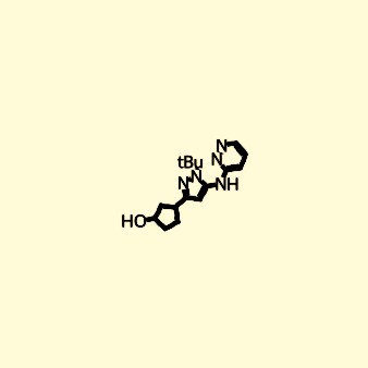 CC(C)(C)n1nc(C2CCC(O)C2)cc1Nc1cccnn1